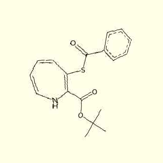 CC(C)(C)OC(=O)C1=C(SC(=O)c2ccccc2)C=CC=CN1